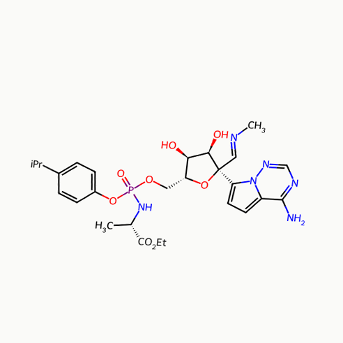 CCOC(=O)[C@H](C)NP(=O)(OC[C@H]1O[C@@](/C=N/C)(c2ccc3c(N)ncnn23)[C@H](O)[C@@H]1O)Oc1ccc(C(C)C)cc1